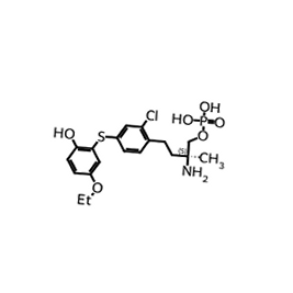 CCOc1ccc(O)c(Sc2ccc(CC[C@](C)(N)COP(=O)(O)O)c(Cl)c2)c1